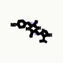 C=C(C)c1[nH]cnc1/C=c1\[nH]c(=O)/c(=C/c2ccc(C#N)cc2)[nH]c1=O